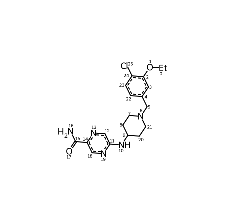 CCOc1cc(CN2CCC(Nc3cnc(C(N)=O)cn3)CC2)ccc1Cl